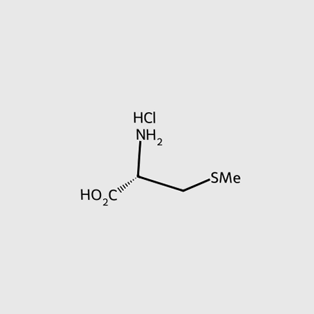 CSC[C@@H](N)C(=O)O.Cl